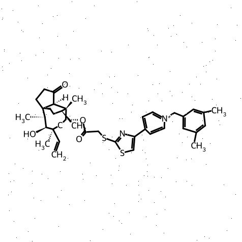 C=C[C@]1(C)C[C@@H](OC(=O)CSc2nc(-c3cc[n+](Cc4cc(C)cc(C)c4)cc3)cs2)[C@]2(C)[C@H](C)CC[C@]3(CCC(=O)[C@H]32)[C@@H](C)[C@@H]1O